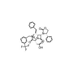 CN(Cc1cccc(C(F)(F)F)c1)C(=O)[C@@H](CC(=O)O)N1C(=O)[C@@H](N2C(=O)OC[C@@H]2c2ccccc2)[C@H]1/C=C/c1ccccc1